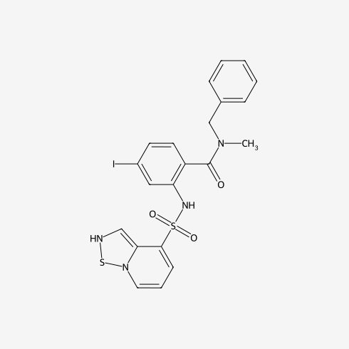 CN(Cc1ccccc1)C(=O)c1ccc(I)cc1NS(=O)(=O)C1=CC=CN2SNC=C12